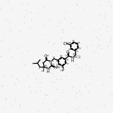 CC(C)C[C@]1(C)CC(=O)N(Cc2cc(F)cc(C(=O)N[C@@H](C)c3cccc(Cl)c3)c2)C(=N)N1